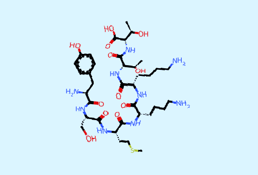 CSCC[C@H](NC(=O)[C@H](CO)NC(=O)[C@@H](N)Cc1ccc(O)cc1)C(=O)N[C@@H](CCCCN)C(=O)N[C@@H](CCCCN)C(=O)N[C@H](C(=O)N[C@H](C(=O)O)[C@@H](C)O)[C@@H](C)O